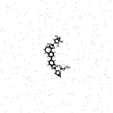 CC(C)(C)OC(=O)N1C2CC2C[C@H]1c1nc2ccc(-c3ccc4c(c3)CCCc3[nH]c([C@@H]5C[C@H]6C[C@H]6N5)nc3-4)cc2[nH]1